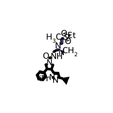 C=N/C(CNC(=O)N1CC(c2ccccc2)C(c2cc(C3CC3)nn2C(C)C)C1)=N\C=C(/C)S(=O)(=O)CC